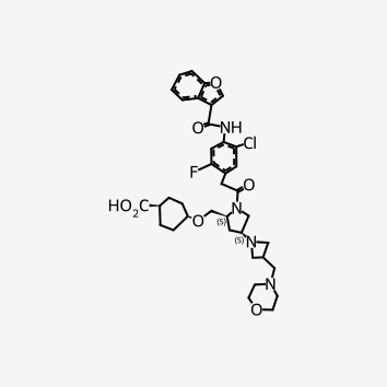 O=C(Nc1cc(F)c(CC(=O)N2C[C@@H](N3CC(CN4CCOCC4)C3)C[C@H]2CO[C@H]2CC[C@H](C(=O)O)CC2)cc1Cl)c1coc2ccccc12